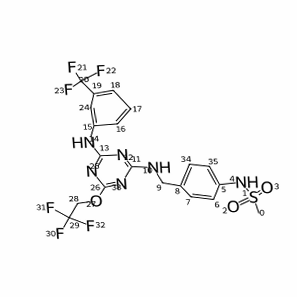 CS(=O)(=O)Nc1ccc(CNc2nc(Nc3cccc(C(F)(F)F)c3)nc(OCC(F)(F)F)n2)cc1